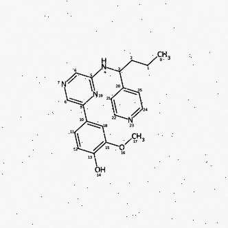 CCCC(Nc1cncc(-c2ccc(O)c(OC)c2)n1)c1ccncc1